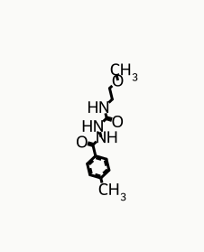 COCCNC(=O)NNC(=O)c1ccc(C)cc1